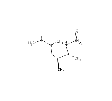 CNN(C)C[C@H](C)[C@@H](C)N[SH](=O)=O